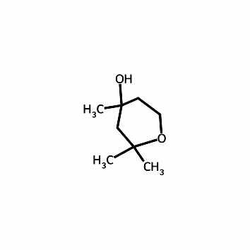 CC1(O)CCOC(C)(C)C1